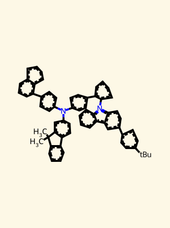 CC(C)(C)c1ccc(-c2ccc3c(c2)c2ccccc2n3-c2ccccc2-c2ccc(N(c3ccc(-c4cccc5ccccc45)cc3)c3ccc4c(c3)C(C)(C)c3ccccc3-4)cc2)cc1